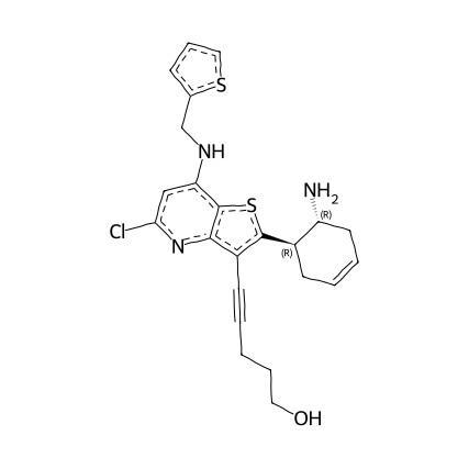 N[C@@H]1CC=CC[C@H]1c1sc2c(NCc3cccs3)cc(Cl)nc2c1C#CCCCO